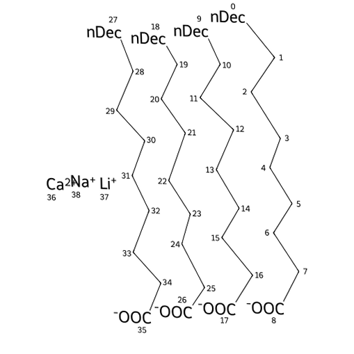 CCCCCCCCCCCCCCCCCC(=O)[O-].CCCCCCCCCCCCCCCCCC(=O)[O-].CCCCCCCCCCCCCCCCCC(=O)[O-].CCCCCCCCCCCCCCCCCC(=O)[O-].[Ca+2].[Li+].[Na+]